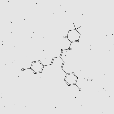 Br.CC1(C)CN=C(NN=C(/C=C/c2ccc(Cl)cc2)/C=C/c2ccc(Cl)cc2)NC1